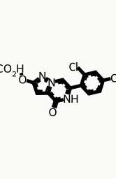 O=C(O)Oc1cc2c(=O)[nH]c(-c3ccc(Cl)cc3Cl)cn2n1